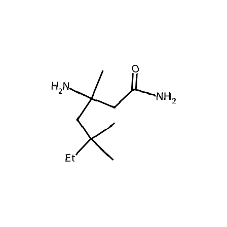 CCC(C)(C)CC(C)(N)CC(N)=O